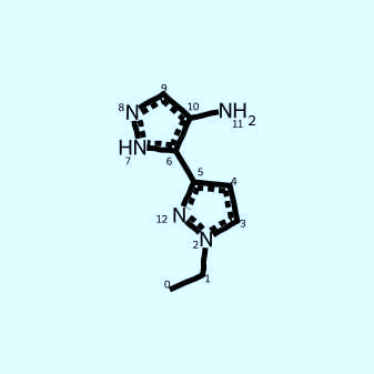 CCn1ccc(-c2[nH]ncc2N)n1